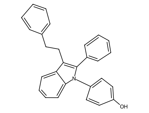 Oc1ccc(-n2c(-c3ccccc3)c(CCc3ccccc3)c3ccccc32)cc1